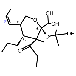 C/C=C\[C@H]1CO[C@](OC(C)(C)O)(C(O)O)C(C)(C(=O)CC)[C@H]1CCC